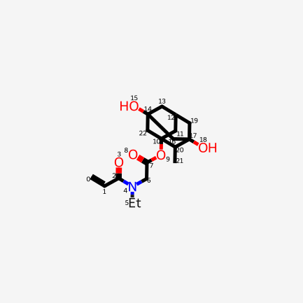 C=CC(=O)N(CC)CC(=O)OC12CC3CC(O)(CC(O)(C3)C1C)C2